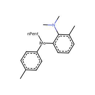 CCCC[CH2][Mo]([c]1ccc(C)cc1)[c]1cccc(C)c1N(C)C